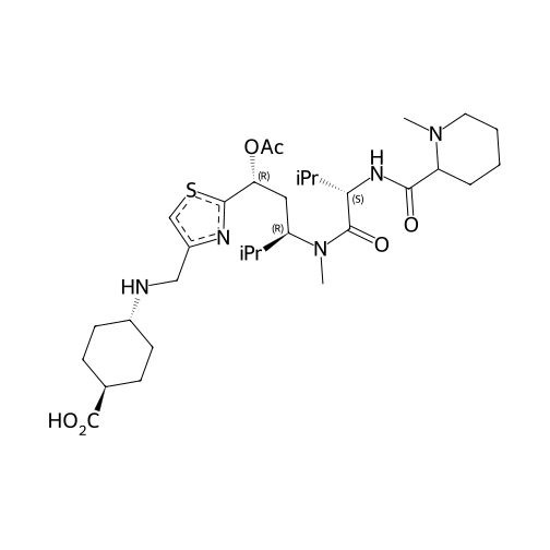 CC(=O)O[C@H](C[C@H](C(C)C)N(C)C(=O)[C@@H](NC(=O)C1CCCCN1C)C(C)C)c1nc(CN[C@H]2CC[C@H](C(=O)O)CC2)cs1